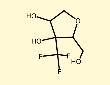 OCC1OCC(O)C1(O)C(F)(F)F